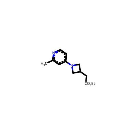 CCOC(=O)CC1CN(c2ccnc(C)c2)C1